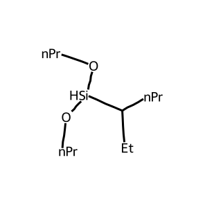 CCCO[SiH](OCCC)C(CC)CCC